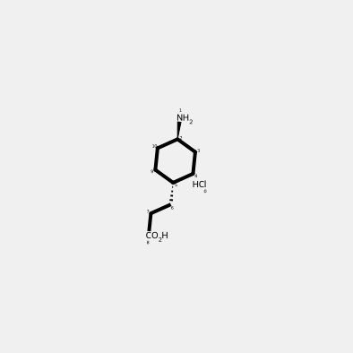 Cl.N[C@H]1CC[C@H](CCC(=O)O)CC1